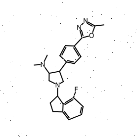 Cc1nnc(-c2ccc(C3CN(C4CCc5cccc(F)c54)CC3N(C)C)cc2)o1